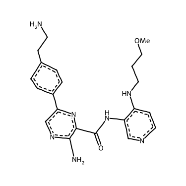 COCCCNc1ccncc1NC(=O)c1nc(-c2ccc(CCN)cc2)cnc1N